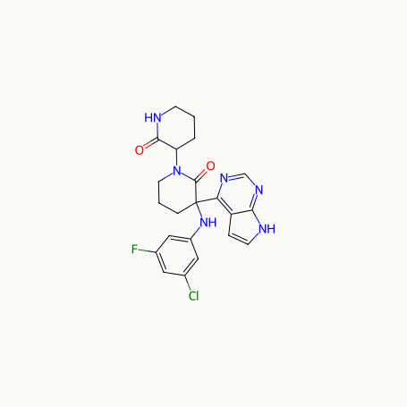 O=C1NCCCC1N1CCCC(Nc2cc(F)cc(Cl)c2)(c2ncnc3[nH]ccc23)C1=O